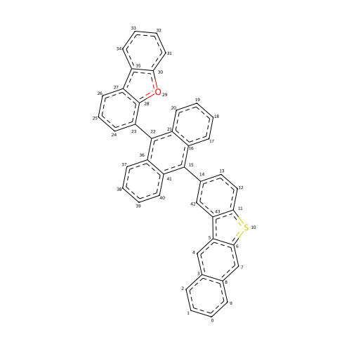 c1ccc2cc3c(cc2c1)sc1ccc(-c2c4ccccc4c(-c4cccc5c4oc4ccccc45)c4ccccc24)cc13